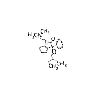 CCC(CC)COC(C(=O)OCCN(C)C)(c1ccccc1)c1ccccc1